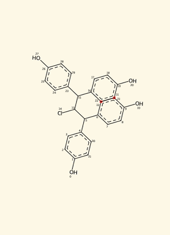 Oc1ccc(C(c2ccc(O)cc2)C(Cl)C(c2ccc(O)cc2)c2ccc(O)cc2)cc1